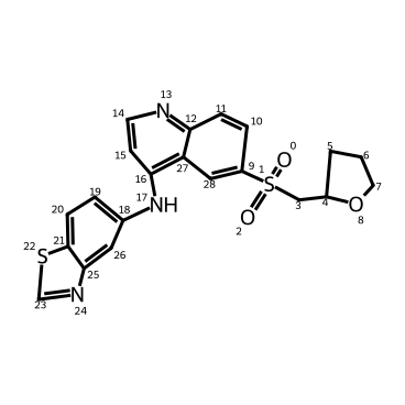 O=S(=O)(CC1CCCO1)c1ccc2nccc(Nc3ccc4scnc4c3)c2c1